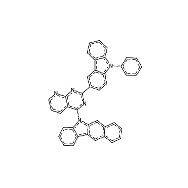 c1ccc(-n2c3ccccc3c3cc(-c4nc(-n5c6ccccc6c6cc7ccccc7cc65)c5cccnc5n4)ccc32)cc1